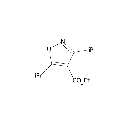 CCOC(=O)c1c(C(C)C)noc1C(C)C